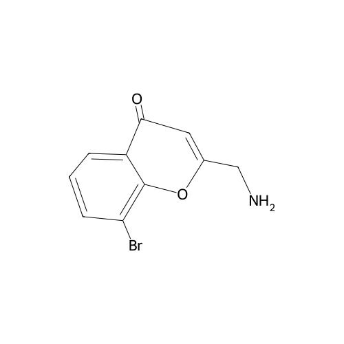 NCc1cc(=O)c2cccc(Br)c2o1